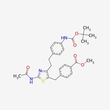 COC(=O)c1ccc(Cc2sc(NC(C)=O)nc2CCc2ccc(NC(=O)OC(C)(C)C)cc2)cc1